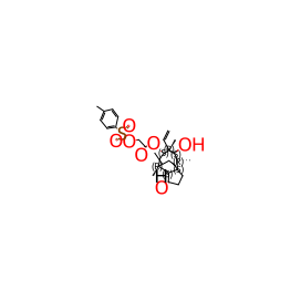 C=C[C@@]1(C)[C@@H](OC(=O)COS(=O)(=O)c2ccc(C)cc2)C[C@]2(C)C(C)CC[C@]3(CCC(=O)[C@H]32)[C@@H](C)[C@@H]1O